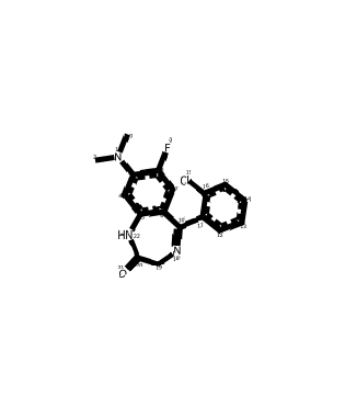 CN(C)c1cc2c(cc1F)C(c1ccccc1Cl)=NCC(=O)N2